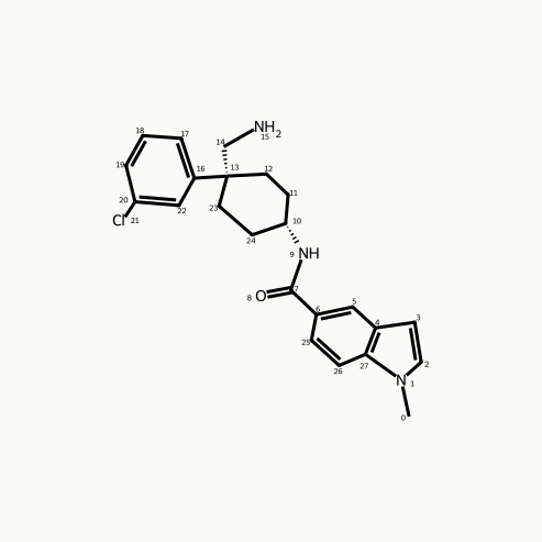 Cn1ccc2cc(C(=O)N[C@H]3CC[C@](CN)(c4cccc(Cl)c4)CC3)ccc21